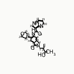 C[C@H](O)[C@H](F)CN1Cc2cc(NC(=O)c3cnn4cccnc34)c(N3CCOCC3)cc2C1=O